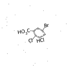 Cl.O=C(O)c1cc(Br)ccc1Cl